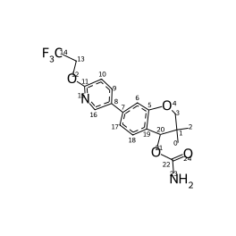 CC1(C)COc2cc(-c3ccc(OCC(F)(F)F)nc3)ccc2C1OC(N)=O